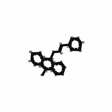 Cc1c2ccccc2c(C/C=C/c2ccccc2)c2ccccc12